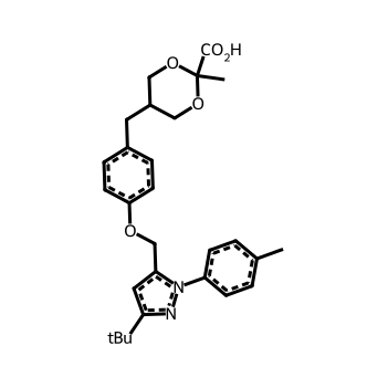 Cc1ccc(-n2nc(C(C)(C)C)cc2COc2ccc(CC3COC(C)(C(=O)O)OC3)cc2)cc1